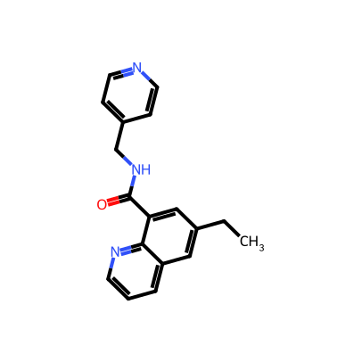 CCc1cc(C(=O)NCc2ccncc2)c2ncccc2c1